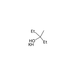 CCC(C)(O)CC.[KH]